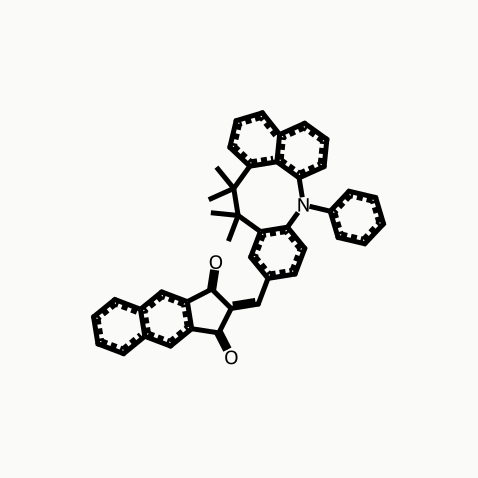 CC1(C)c2cc(C=C3C(=O)c4cc5ccccc5cc4C3=O)ccc2N(c2ccccc2)c2cccc3cccc(c23)C1(C)C